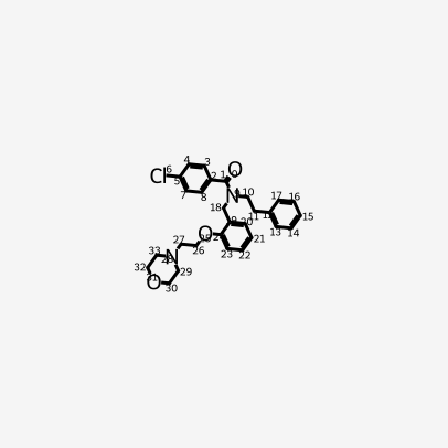 O=C(c1ccc(Cl)cc1)N(CCc1ccccc1)Cc1ccccc1OCCN1CCOCC1